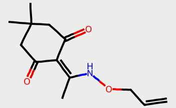 C=CCONC(C)=C1C(=O)CC(C)(C)CC1=O